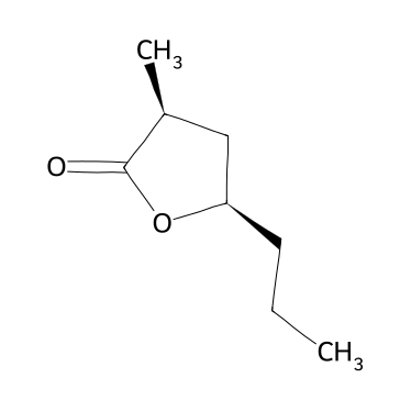 CCC[C@@H]1C[C@H](C)C(=O)O1